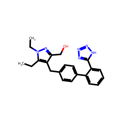 CCc1c(Cc2ccc(-c3ccccc3-c3nnn[nH]3)cc2)c(CO)nn1CC